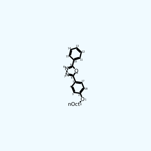 CCCCCCCCOc1ccc(-c2nnc(-c3ccccc3)o2)cc1